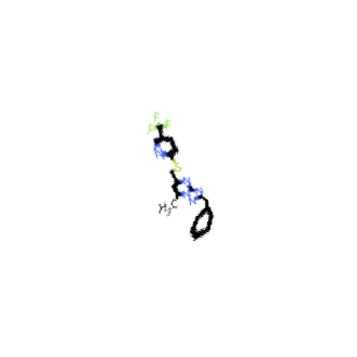 Cc1cc(CSc2ccc(C(F)(F)F)cn2)nc2nc(Cc3ccccc3)nn12